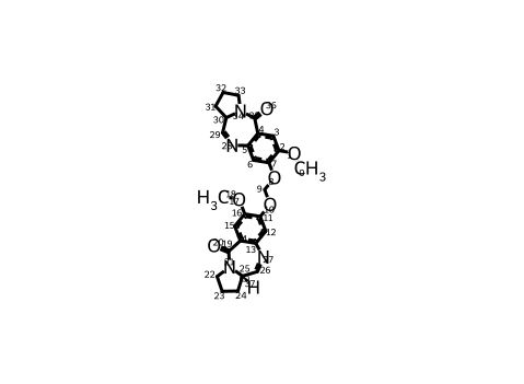 COc1cc2c(cc1OCOc1cc3c(cc1OC)C(=O)N1CCC[C@H]1C=N3)N=CC1CCCN1C2=O